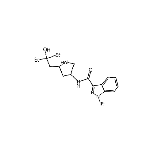 CCC(O)(CC)CC1CC(NC(=O)c2nn(C(C)C)c3ccccc23)CN1